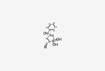 N#Cc1cc(C(=O)c2ccccc2)cc(O)c1O